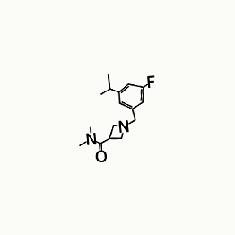 CC(C)c1cc(F)cc(CN2CC(C(=O)N(C)C)C2)c1